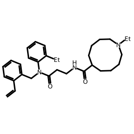 C=Cc1ccccc1CN(C(=O)CCNC(=O)C1CCCCN(CC)CCCC1)c1ccccc1CC